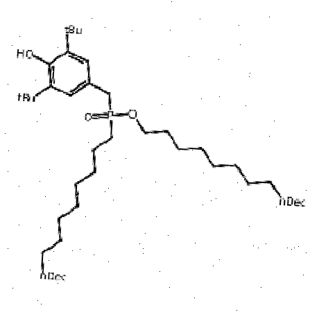 CCCCCCCCCCCCCCCCCCOP(=O)(CCCCCCCCCCCCCCCCCC)Cc1cc(C(C)(C)C)c(O)c(C(C)(C)C)c1